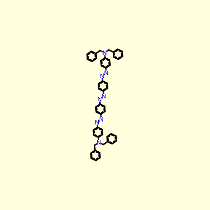 c1ccc(CN(Cc2ccccc2)c2ccc(N=Nc3ccc(N=Nc4ccc(N=Nc5ccc(N(Cc6ccccc6)Cc6ccccc6)cc5)cc4)cc3)cc2)cc1